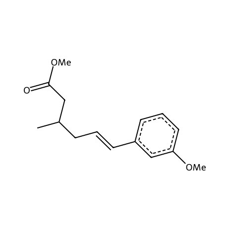 COC(=O)CC(C)CC=Cc1cccc(OC)c1